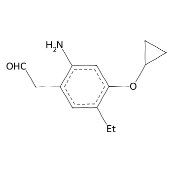 CCc1cc(CC=O)c(N)cc1OC1CC1